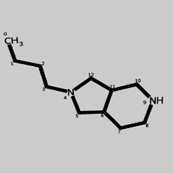 CCCCN1CC2CCNCC2C1